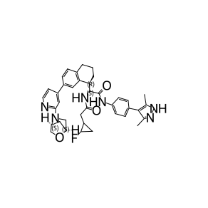 Cc1n[nH]c(C)c1-c1ccc(NC(=O)[C@@H](NC(=O)CC2CC2F)[C@@H]2CCCc3ccc(-c4ccnc(N5C[C@@H]6C[C@H]5CO6)c4)cc32)cc1